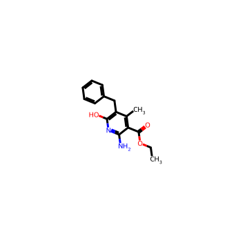 CCOC(=O)c1c(N)nc(O)c(Cc2ccccc2)c1C